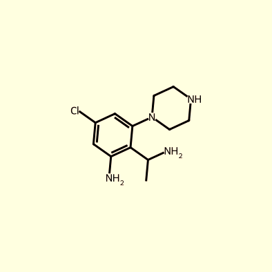 CC(N)c1c(N)cc(Cl)cc1N1CCNCC1